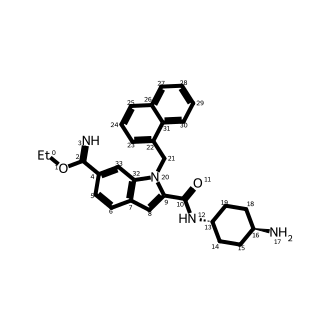 CCOC(=N)c1ccc2cc(C(=O)N[C@H]3CC[C@H](N)CC3)n(Cc3cccc4ccccc34)c2c1